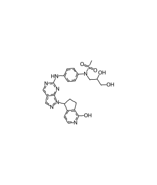 CS(=O)(=O)N(CC(O)CO)c1ccc(Nc2ncc3cnn(C4CCc5c4ccnc5O)c3n2)cc1